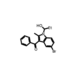 CCC(O)n1c(C)c(C(=O)c2ccccc2)c2cc(Br)ccc21